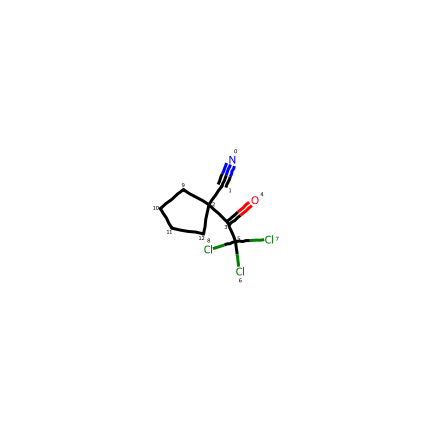 N#CC1(C(=O)C(Cl)(Cl)Cl)CCCC1